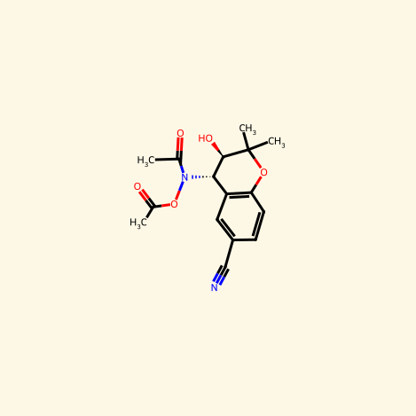 CC(=O)ON(C(C)=O)[C@H]1c2cc(C#N)ccc2OC(C)(C)[C@@H]1O